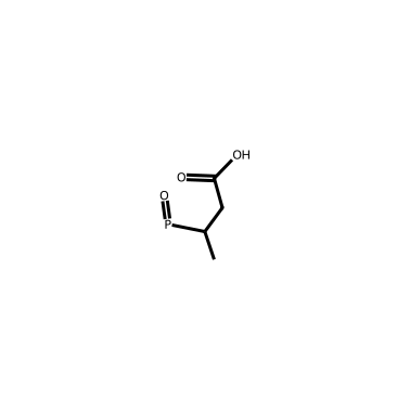 CC(CC(=O)O)P=O